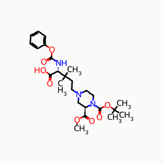 COC(=O)[C@H]1CN(CCC(C)(C)[C@@H](NC(=O)Oc2ccccc2)C(=O)O)CCN1C(=O)OC(C)(C)C